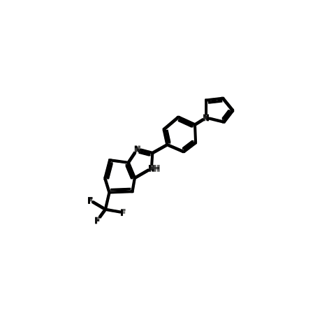 FC(F)(F)c1ccc2nc(-c3ccc(-n4cccc4)cc3)[nH]c2c1